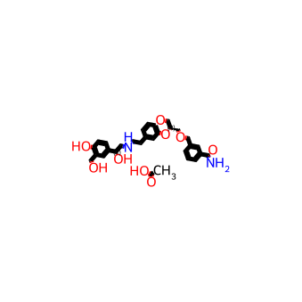 CC(=O)O.NC(=O)c1cccc(COC[C@@H]2COc3ccc(CCNC[C@H](O)c4ccc(O)c(CO)c4)cc3O2)c1